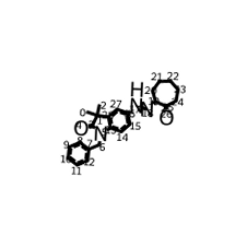 CC1(C)C(=O)N(Cc2ccccc2)c2ccc(N/N=C3\CCCCCC3=O)cc21